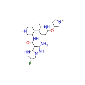 CC1NC(O[C@@H]2CCN(C)C2)CCC1C1CCN(C)CC1NC(=O)C1C(N)NN2CC(F)=CNC12